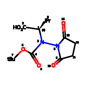 CC(C)[C@@H](C(=O)O)N(C(=O)OC(C)(C)C)N1C(=O)CCC1=O